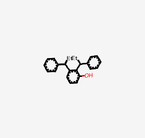 CCC(c1ccccc1)c1cccc(O)c1C(CC)c1ccccc1